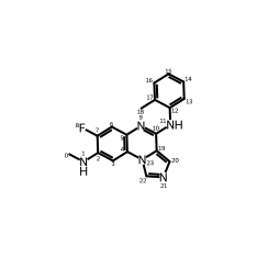 CNc1cc2c(cc1F)nc(Nc1ccccc1C)c1cncn12